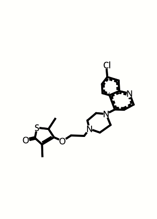 CC1=C(OCCN2CCN(c3ccnc4cc(Cl)ccc34)CC2)C(C)SC1=O